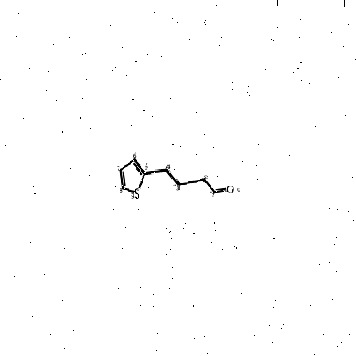 O=[C]C[CH]Cc1cccs1